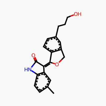 Cc1ccc2c(c1)/C(=C1\OCc3cc(CCCO)ccc31)C(=O)N2